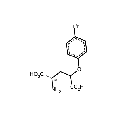 CC(C)c1ccc(OC(C[C@H](N)C(=O)O)C(=O)O)cc1